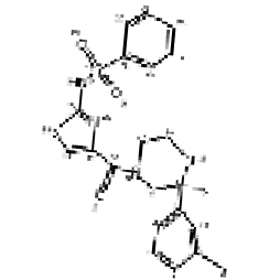 Cc1cccc(C2(C)CN(C(=O)c3csc(NS(=O)(=O)c4ccccc4)n3)CCO2)c1